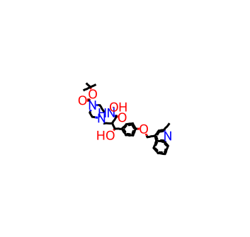 Cc1cc(COc2ccc(C(O)C(CN3CCN(C(=O)OC(C)(C)C)CC3)C(=O)NO)cc2)c2ccccc2n1